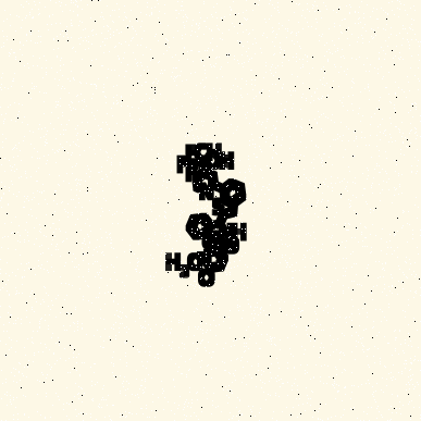 Cn1cc(S(=O)(=O)NC(c2cc3cccc(-c4cc([C@@](C)(O)C(F)(F)F)ccn4)c3s2)c2ccccc2Cl)ccc1=O